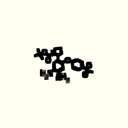 CC(C)(C)OC(=O)N1CCCC1c1cc(N)c(N)cc1Oc1ccc(S(C)(=O)=O)cc1